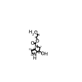 C=CCOC(=O)N1CC(O)C2NCC=C21